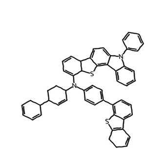 C1=CCC(C2C=CC(N(C3=CC=CC4c5ccc6c(c5SC34)c3ccccc3n6-c3ccccc3)c3ccc(-c4cccc5c6c(sc45)CCC=C6)cc3)CC2)C=C1